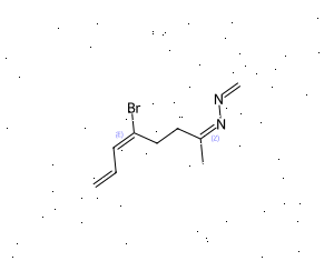 C=C/C=C(/Br)CC/C(C)=N\N=C